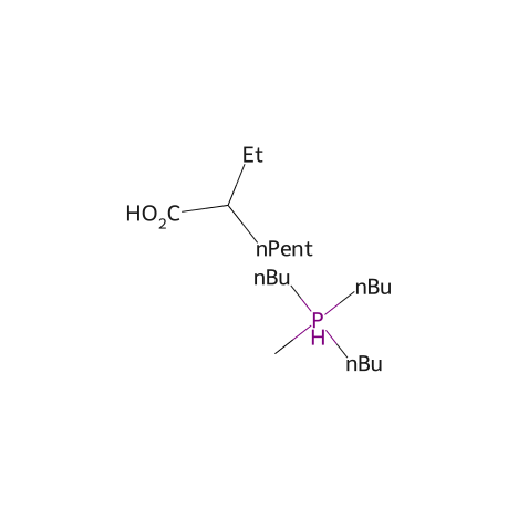 CCCCCC(CC)C(=O)O.CCCC[PH](C)(CCCC)CCCC